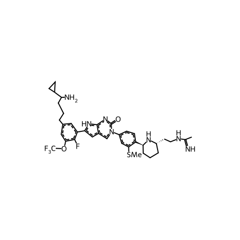 CSc1cc(-n2cc3cc(-c4cc(CCCC(N)C5CC5)cc(OC(F)(F)F)c4F)[nH]c3nc2=O)ccc1[C@@H]1CCC[C@@H](CCNC(C)=N)N1